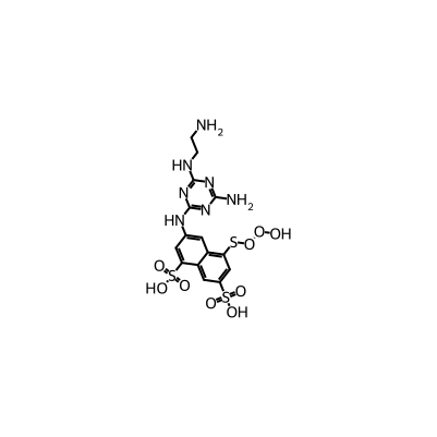 NCCNc1nc(N)nc(Nc2cc(S(=O)(=O)O)c3cc(S(=O)(=O)O)cc(SOOO)c3c2)n1